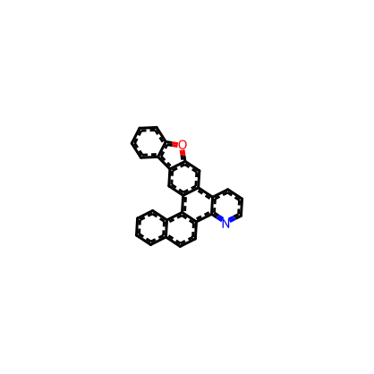 c1ccc2c(c1)ccc1c3ncccc3c3cc4oc5ccccc5c4cc3c21